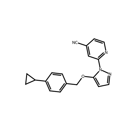 N#Cc1ccnc(-n2nccc2OCc2ccc(C3CC3)cc2)c1